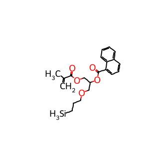 C=C(C)C(=O)OCC(COCCC[SiH3])OC(=O)c1cccc2ccccc12